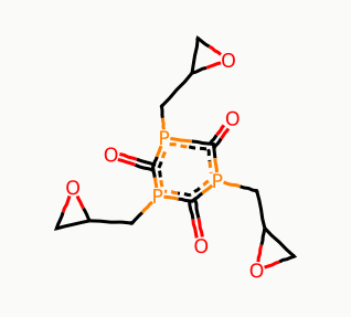 O=c1p(CC2CO2)c(=O)p(CC2CO2)c(=O)p1CC1CO1